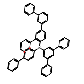 c1ccc(-c2ccc(N(c3cc(-c4ccccc4)cc(-c4ccccc4)c3)c3ccc(-c4cccc(-c5ccccc5)c4)cc3-c3ccccc3)cc2)cc1